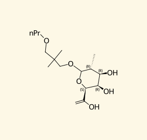 C=C(O)[C@H]1OC(OCC(C)(C)COCCC)[C@H](C)[C@@H](O)[C@H]1O